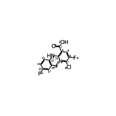 O=C(O)c1cc(F)c(Cl)nc1Nc1ccc(F)cc1F